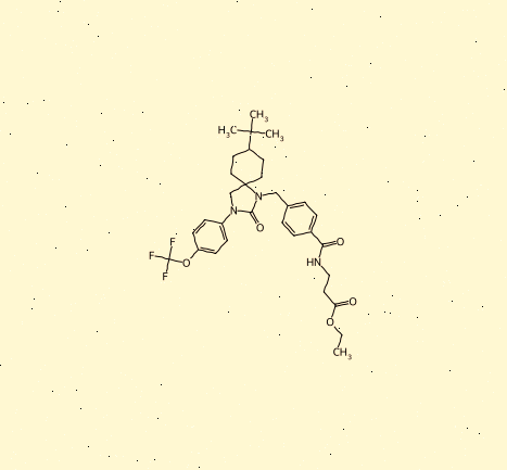 CCOC(=O)CCNC(=O)c1ccc(CN2C(=O)N(c3ccc(OC(F)(F)F)cc3)CC23CCC(C(C)(C)C)CC3)cc1